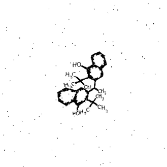 CC(c1cc2ccccc2c(O)c1C(C)(C)C)c1cc2ccccc2c(O)c1C(C)(C)C